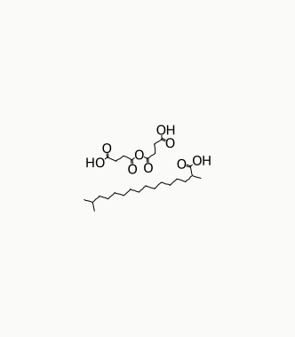 CC(C)CCCCCCCCCCCCC(C)C(=O)O.O=C(O)CCC(=O)OC(=O)CCC(=O)O